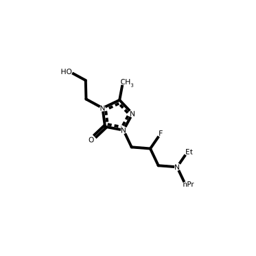 CCCN(CC)CC(F)Cn1nc(C)n(CCO)c1=O